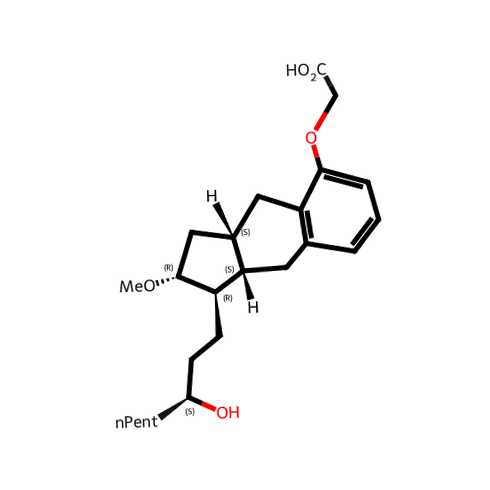 CCCCC[C@H](O)CC[C@@H]1[C@H]2Cc3cccc(OCC(=O)O)c3C[C@H]2C[C@H]1OC